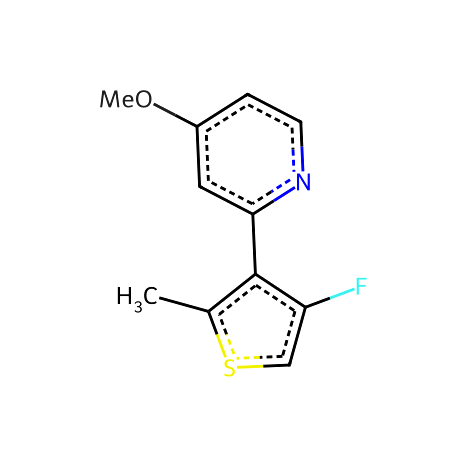 COc1ccnc(-c2c(F)csc2C)c1